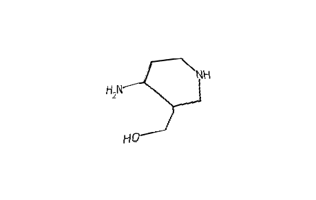 NC1CCNCC1CO